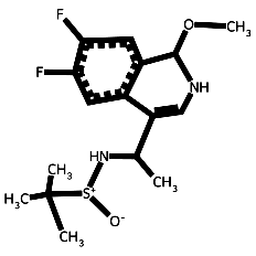 COC1NC=C(C(C)N[S+]([O-])C(C)(C)C)c2cc(F)c(F)cc21